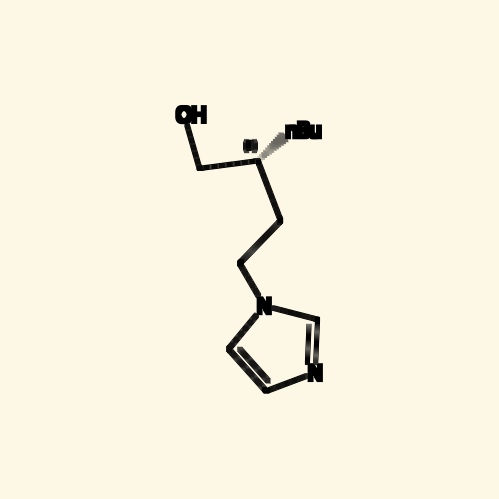 CCCC[C@@H](CO)CCn1ccnc1